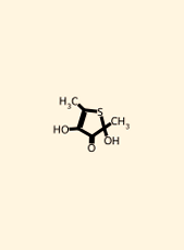 CC1=C(O)C(=O)C(C)(O)S1